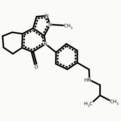 CC(C)CNCc1ccc(-n2c(=O)c3c(c4cnn(C)c42)CCCC3)cc1